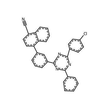 N#Cc1ccc(-c2cccc(-c3nc(-c4ccccc4)nc(-c4ccc(Cl)cc4)n3)c2)c2ccccc12